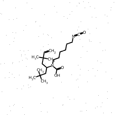 C=CC(C)(C)CC(CC(C)(C)C)N(CCCCCCN=C=O)C(=O)O